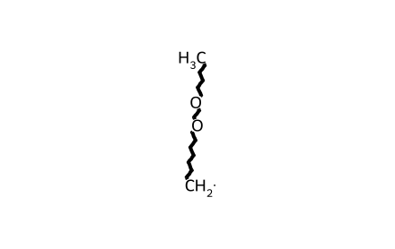 [CH2]CCCCCCCOCCOCCCCCC